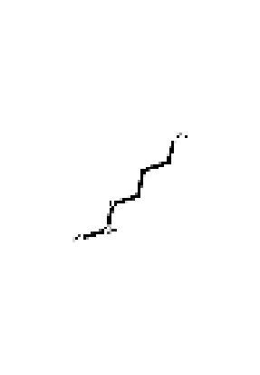 C[C](C)CCCONC(C)C